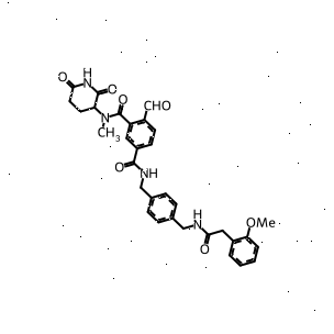 COc1ccccc1CC(=O)NCc1ccc(CNC(=O)c2ccc(C=O)c(C(=O)N(C)C3CCC(=O)NC3=O)c2)cc1